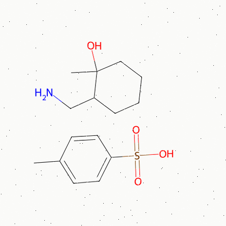 CC1(O)CCCCC1CN.Cc1ccc(S(=O)(=O)O)cc1